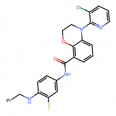 CC(C)CNc1ccc(NC(=O)c2cccc3c2OCCN3c2ncccc2Cl)cc1F